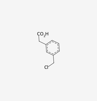 O=C(O)Cc1cccc(CCl)c1